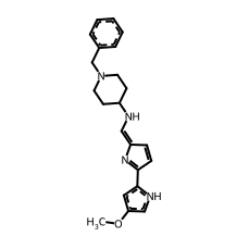 COc1c[nH]c(C2=NC(=CNC3CCN(Cc4ccccc4)CC3)C=C2)c1